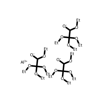 CCOC([O-])C(OCC)(OCC)OCC.CCOC([O-])C(OCC)(OCC)OCC.CCOC([O-])C(OCC)(OCC)OCC.[Al+3]